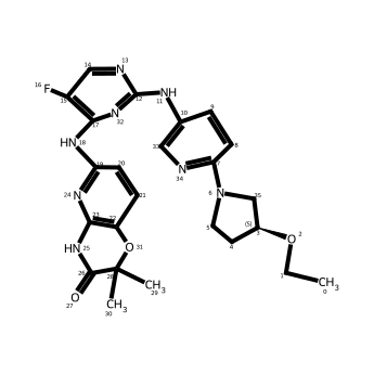 CCO[C@H]1CCN(c2ccc(Nc3ncc(F)c(Nc4ccc5c(n4)NC(=O)C(C)(C)O5)n3)cn2)C1